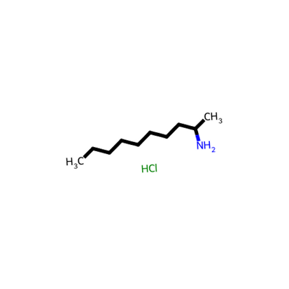 CCCCCCCCC(C)N.Cl